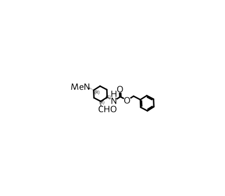 CN[C@@H]1CC[C@H](NC(=O)OCc2ccccc2)[C@H](C=O)C1